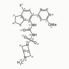 COc1cc(-c2cc(F)c3c(c2NC(=O)NS(=O)(=O)N2CC4C2CN4C)CCC3)ccn1